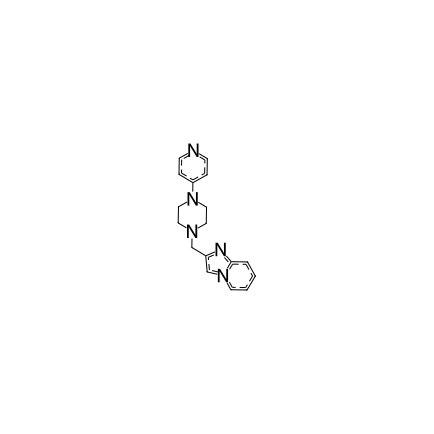 c1ccn2cc(CN3CCN(c4ccncc4)CC3)nc2c1